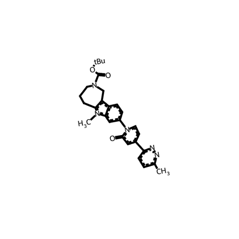 Cc1ccc(-c2ccn(-c3ccc4c5c(n(C)c4c3)CCCN(C(=O)OC(C)(C)C)C5)c(=O)c2)nn1